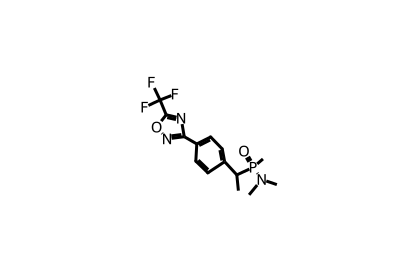 CC(c1ccc(-c2noc(C(F)(F)F)n2)cc1)P(C)(=O)N(C)C